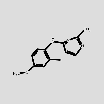 COc1ccc(Nc2ccnc(C)n2)c(I)c1